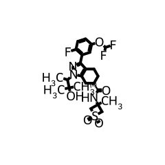 CC(n1nc(-c2cc(OC(F)F)ccc2F)c2c1C[C@H](C(=O)NC1(C)CS(=O)(=O)C1)CC2)C(C)(C)O